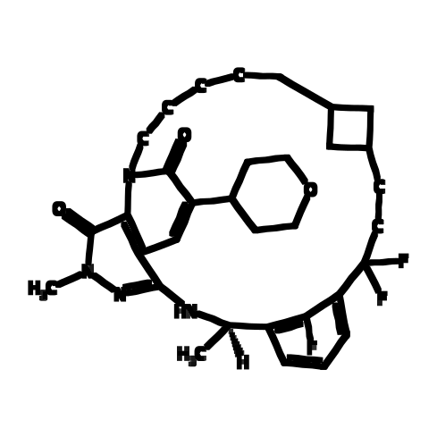 C[C@H]1Nc2nn(C)c(=O)c3c2cc(C2CCOCC2)c(=O)n3CCCCCC2CC(CCC(F)(F)c3cccc1c3F)C2